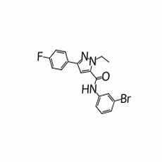 CCn1nc(-c2ccc(F)cc2)cc1C(=O)Nc1cccc(Br)c1